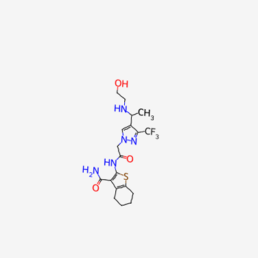 CC(NCCO)c1cn(CC(=O)Nc2sc3c(c2C(N)=O)CCCC3)nc1C(F)(F)F